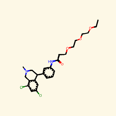 CCOCCOCCOCCC(=O)Nc1cccc(C2CN(C)Cc3c(Cl)cc(Cl)cc32)c1